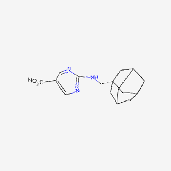 O=C(O)c1cnc(NCC23CC4CC(CC(C4)C2)C3)nc1